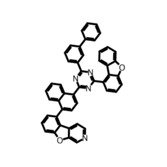 c1ccc(-c2cccc(-c3nc(-c4ccc(-c5cccc6oc7cnccc7c56)c5ccccc45)nc(-c4cccc5oc6ccccc6c45)n3)c2)cc1